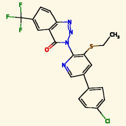 CCSc1cc(-c2ccc(Cl)cc2)cnc1-n1nnc2ccc(C(F)(F)F)cc2c1=O